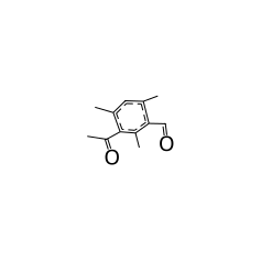 CC(=O)c1c(C)cc(C)c(C=O)c1C